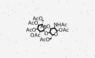 CC(=O)N[C@H]1[C@H](OC(C)=O)O[C@H](COC(C)=O)[C@@H](O[C@@H]2O[C@@H](COC(C)=O)[C@@H](OC(C)=O)[C@H](OC(C)=O)[C@H]2OC(C)=O)[C@@H]1OC(C)=O